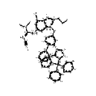 CCCc1nc2c(Cl)cc(N/C(=N\C#N)N(C)C)cc2n1Cc1ccc(-c2ccccc2-c2nnnn2C(c2ccccc2)(c2ccccc2)c2ccccc2)cc1